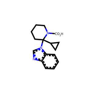 O=C(O)N1CCCCC1(C1CC1)n1cnc2ccccc21